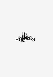 COCCOc1ccc(C[C@@H](NC(=O)c2ccccc2)C(=O)N[C@@H](Cc2ccccc2)C(=O)O)cc1